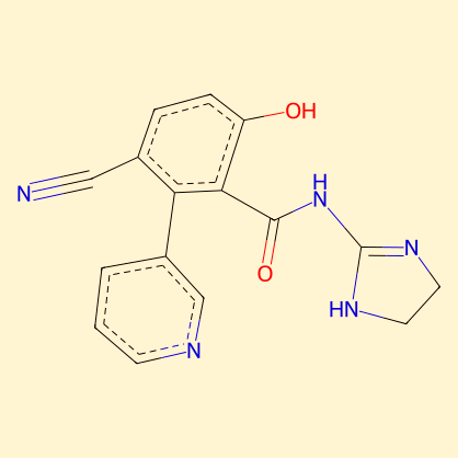 N#Cc1ccc(O)c(C(=O)NC2=NCCN2)c1-c1cccnc1